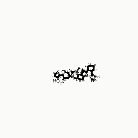 CCCCc1nc(Cl)c(/C=C(\Cc2cccs2)C(=O)O)n1Cc1ccc2oc(-c3ccccc3-c3nnn[nH]3)c(Br)c2c1